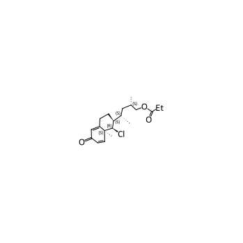 CCC(=O)OC[C@@H](C)C[C@H](C)[C@@H]1CCC2=CC(=O)C=C[C@]2(C)[C@@H]1Cl